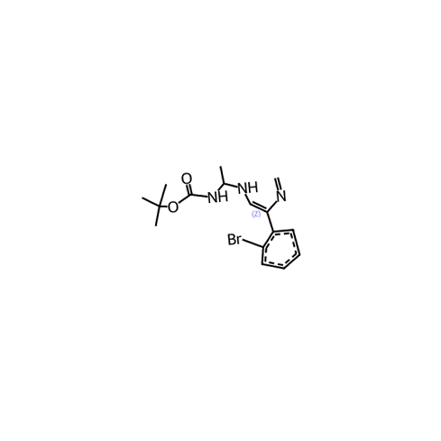 C=N/C(=C\NC(C)NC(=O)OC(C)(C)C)c1ccccc1Br